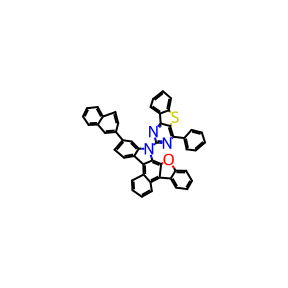 c1ccc(-c2nc(-n3c4cc(-c5ccc6ccccc6c5)ccc4c4c5ccccc5c5c6ccccc6oc5c43)nc3c2sc2ccccc23)cc1